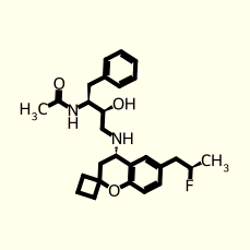 CC(=O)N[C@@H](Cc1ccccc1)[C@@H](O)CN[C@H]1CC2(CCC2)Oc2ccc(C[C@@H](C)F)cc21